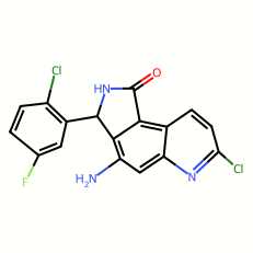 Nc1cc2nc(Cl)ccc2c2c1C(c1cc(F)ccc1Cl)NC2=O